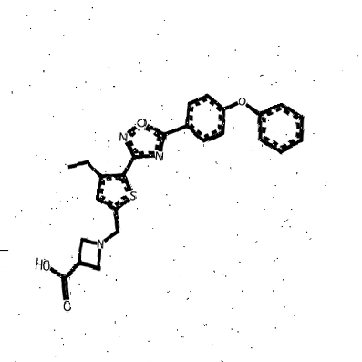 CCc1cc(CN2CC(C(=O)O)C2)sc1-c1noc(-c2ccc(Oc3ccccc3)cc2)n1